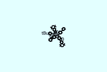 CC(C)(C)c1ccc(N2c3c(oc4cc5c(cc34)C(C)(C)CCC5(C)C)B3c4c(cc5c(oc6ccccc65)c42)-c2cc4c(cc2N3c2ccc(-c3ccccc3)cc2)oc2cc3c(cc24)C(C)(C)CCC3(C)C)cc1